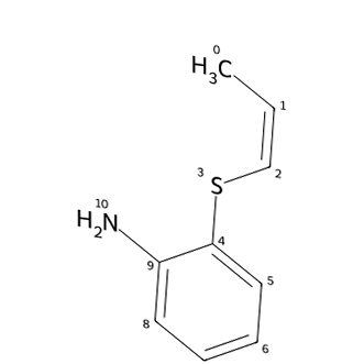 C/C=C\Sc1ccccc1N